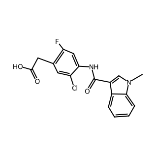 Cn1cc(C(=O)Nc2cc(F)c(CC(=O)O)cc2Cl)c2ccccc21